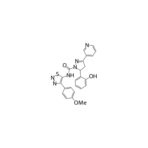 COc1ccc(-c2nnsc2NC(=O)N2N=C(c3cccnc3)CC2c2ccccc2O)cc1